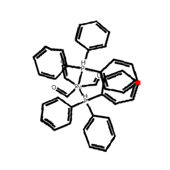 O=[CH][Ru]([CH]=O)([CH]=O)([PH](c1ccccc1)(c1ccccc1)c1ccccc1)[PH](c1ccccc1)(c1ccccc1)c1ccccc1